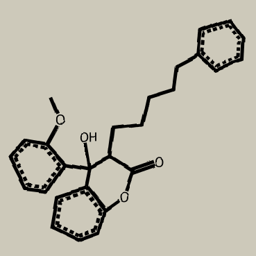 COc1ccccc1C1(O)c2ccccc2OC(=O)C1CCCCCc1ccccc1